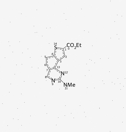 CCOC(=O)c1cc2c(ccc3cnc(NC)nc32)s1